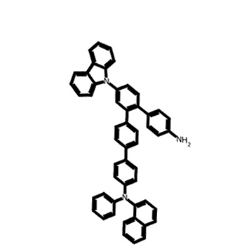 Nc1ccc(-c2ccc(-n3c4ccccc4c4ccccc43)cc2-c2ccc(-c3ccc(N(c4ccccc4)c4cccc5ccccc45)cc3)cc2)cc1